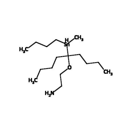 CCC[CH2][SnH]([CH3])[C](CCCC)(CCCC)OCCN